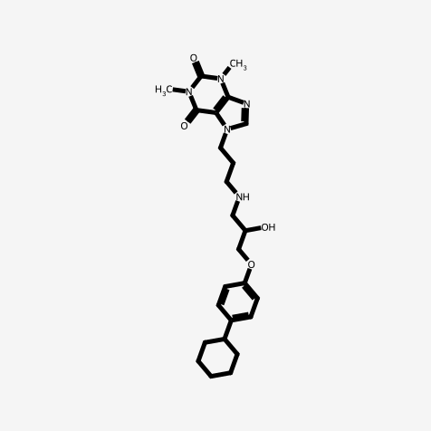 Cn1c(=O)c2c(ncn2CCCNCC(O)COc2ccc(C3CCCCC3)cc2)n(C)c1=O